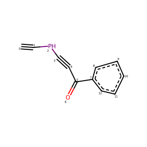 C#CPC#CC(=O)c1ccccc1